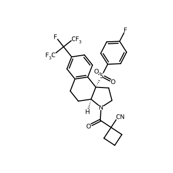 N#CC1(C(=O)N2CC[C@]3(S(=O)(=O)c4ccc(F)cc4)c4ccc(C(F)(C(F)(F)F)C(F)(F)F)cc4CC[C@H]23)CCC1